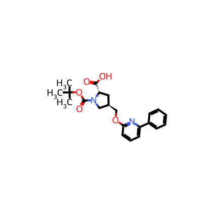 CC(C)(C)OC(=O)N1C[C@H](COc2cccc(-c3ccccc3)n2)C[C@H]1C(=O)O